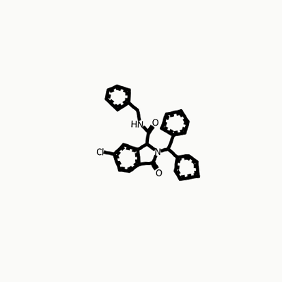 O=C(NCc1ccccc1)C1c2cc(Cl)ccc2C(=O)N1C(c1ccccc1)c1ccccc1